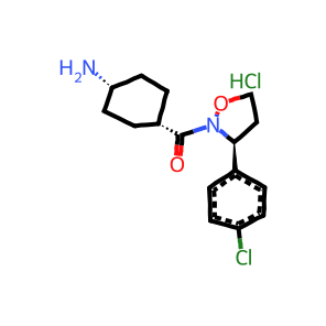 Cl.N[C@H]1CC[C@@H](C(=O)N2OCC[C@H]2c2ccc(Cl)cc2)CC1